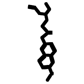 C=CCC(CC)CCNCc1ccc2cc(OC)ccc2c1